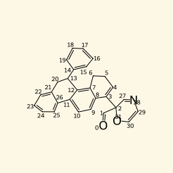 O=CC1(C2=CCCc3c2ccc2c3C(c3ccccc3)Cc3ccccc3-2)C=NC=CO1